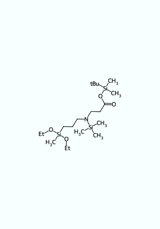 CCO[Si](C)(CCCN(CCC(=O)O[Si](C)(C)C(C)(C)C)[Si](C)(C)C)OCC